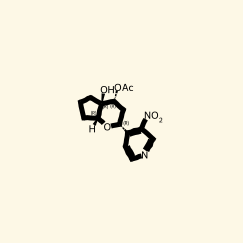 CC(=O)O[C@@H]1C[C@H](c2ccncc2[N+](=O)[O-])O[C@@H]2CCC[C@]12O